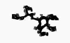 CCOC(O)OCc1cc(C(C)(C)C)c(O)c(C(C)(C)C)c1